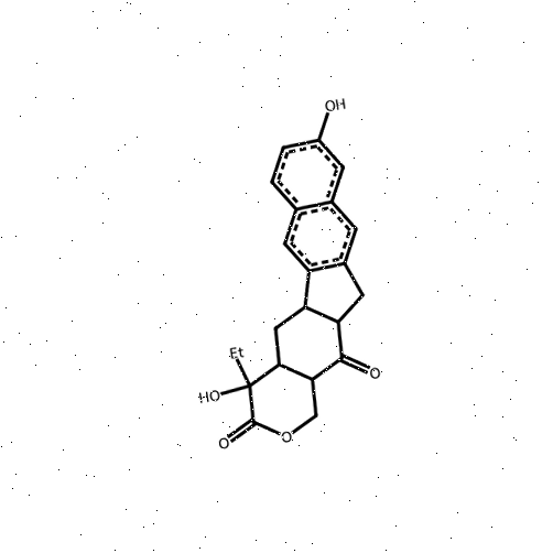 CCC1(O)C(=O)OCC2C(=O)C3Cc4cc5cc(O)ccc5cc4C3CC21